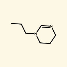 CCCN1C=NCCC1